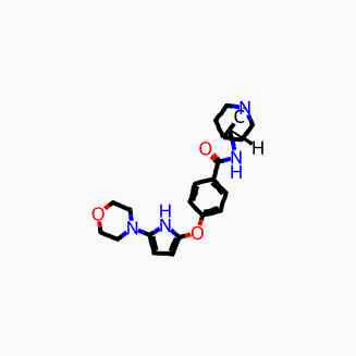 O=C(N[C@H]1CN2CCC1CC2)c1ccc(Oc2ccc(N3CCOCC3)[nH]2)cc1